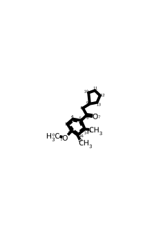 COc1ccc(C(=O)CC2CCCC2)c(C)c1C